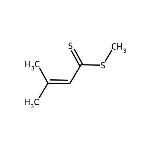 CSC(=S)C=C(C)C